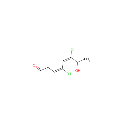 CC(O)/C(Cl)=C\C(Cl)=C/CC=O